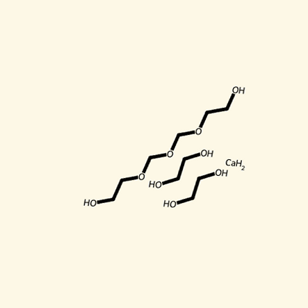 OCCO.OCCO.OCCOCOCOCCO.[CaH2]